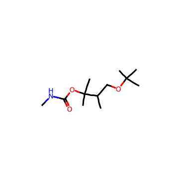 CNC(=O)OC(C)(C)C(C)COC(C)(C)C